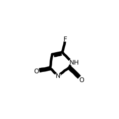 O=C1C=C(F)NC(=O)[N]1